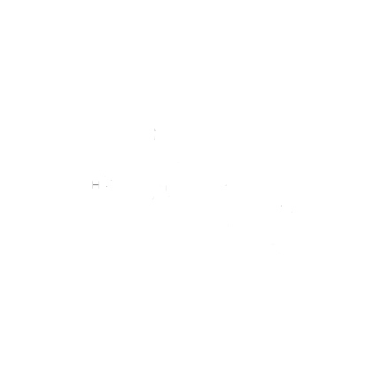 [CH2]C(C)CCCCC(C)(C)CC